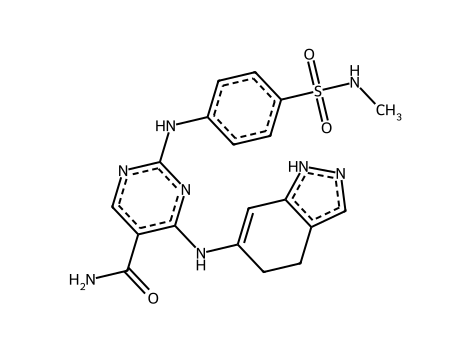 CNS(=O)(=O)c1ccc(Nc2ncc(C(N)=O)c(NC3=Cc4[nH]ncc4CC3)n2)cc1